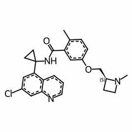 Cc1ccc(OC[C@@H]2CCN2C)cc1C(=O)NC1(c2cc(Cl)cc3ncccc23)CC1